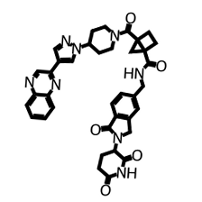 O=C1CCC(N2Cc3cc(CNC(=O)C45CCC4(C(=O)N4CCC(n6cc(-c7cnc8ccccc8n7)cn6)CC4)C5)ccc3C2=O)C(=O)N1